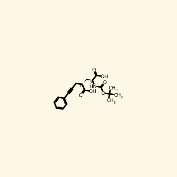 CC(C)(C)OC(=O)N[C@@H](C[C@@H](CC#Cc1ccccc1)C(=O)O)C(=O)O